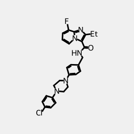 CCc1nc2c(F)cccn2c1C(=O)NCc1ccc(N2CCN(c3ccc(Cl)cc3)CC2)cc1